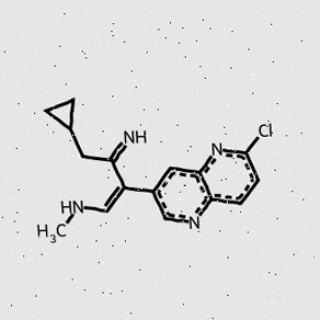 CN/C=C(\C(=N)CC1CC1)c1cnc2ccc(Cl)nc2c1